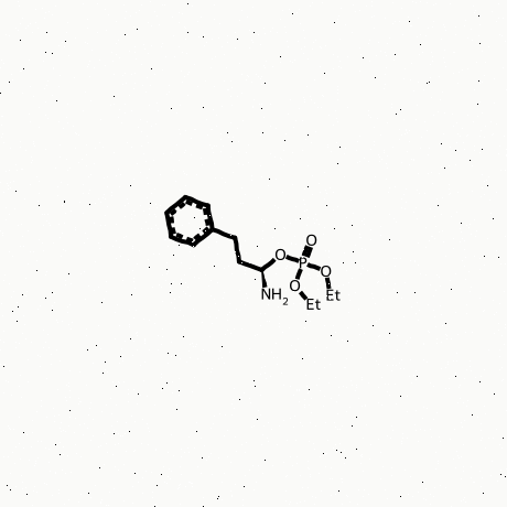 CCOP(=O)(OCC)O[C@@H](N)CCc1ccccc1